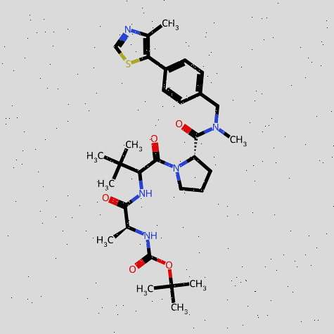 Cc1ncsc1-c1ccc(CN(C)C(=O)[C@@H]2CCCN2C(=O)C(NC(=O)[C@H](C)NC(=O)OC(C)(C)C)C(C)(C)C)cc1